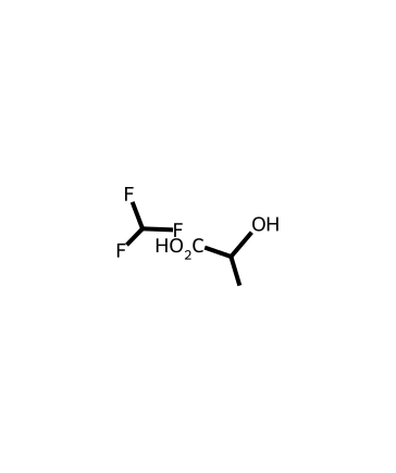 CC(O)C(=O)O.FC(F)F